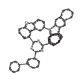 c1ccc(-c2cccc(-c3nc(-c4ccccc4)nc(-c4cccc5oc6ccc(-n7c8ccccc8c8cc9ccccc9cc87)cc6c45)n3)c2)cc1